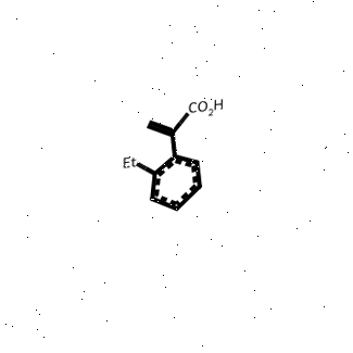 C=C(C(=O)O)c1ccccc1CC